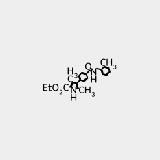 CCOC(=O)c1[nH]c(C)c(-c2ccc(C(=O)NCc3ccccc3C)cc2)c1C